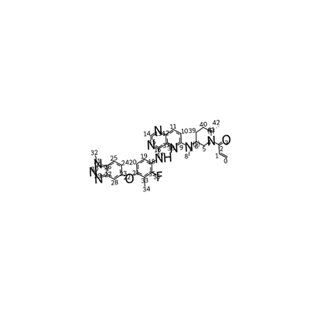 C=CC(=O)N1C[C@@H](N(C)c2ccc3ncnc(Nc4ccc(Oc5ccc6c(c5)nnn6C)c(C)c4F)c3n2)CC[C@@H]1C